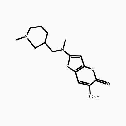 CN1CCCC(CN(C)c2cc3oc(=O)c(C(=O)O)cc3s2)C1